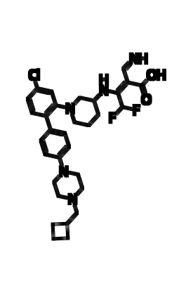 N=C/C(C(=O)O)=C(\NC1CCCN(c2cc(Cl)ccc2-c2ccc(N3CCN(CC4CCC4)CC3)cc2)C1)C(F)F